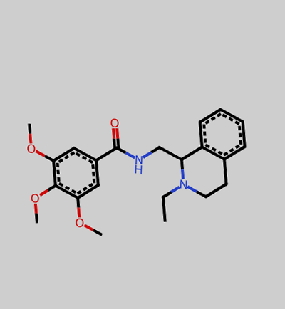 CCN1CCc2ccccc2C1CNC(=O)c1cc(OC)c(OC)c(OC)c1